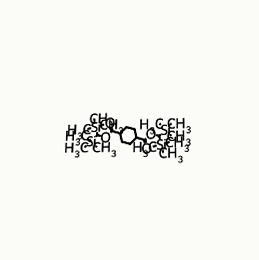 C[Si](C)(C)C(OC(=O)C1CCC(C(=O)OC([Si](C)(C)C)[Si](C)(C)C)CC1)[Si](C)(C)C